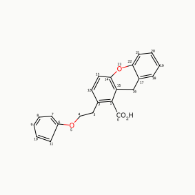 O=C(O)c1c(CCOc2ccccc2)ccc2c1Cc1ccccc1O2